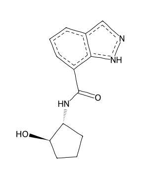 O=C(N[C@@H]1CCC[C@H]1O)c1cccc2cn[nH]c12